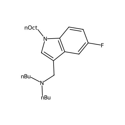 CCCCCCCCn1cc(CN(CCCC)CCCC)c2cc(F)ccc21